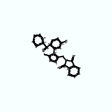 Cc1cnc(CN2C(=O)c3ccccc3C2=O)n1-c1cc(Cl)ccc1C(=O)c1ccccc1